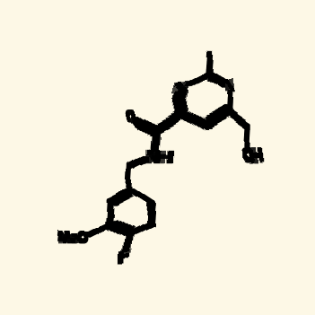 COc1cc(CNC(=O)c2cc(CO)nc(C)n2)ccc1F